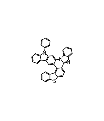 c1ccc(-n2c3ccccc3c3cc4c5c(ccc6sc7ccccc7c65)c5nc6ccccc6n5c4cc32)cc1